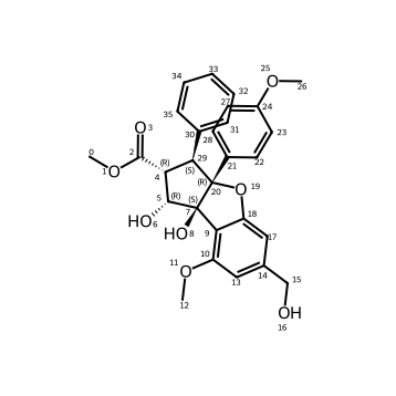 COC(=O)[C@H]1[C@@H](O)[C@@]2(O)c3c(OC)cc(CO)cc3O[C@@]2(c2ccc(OC)cc2)[C@@H]1c1ccccc1